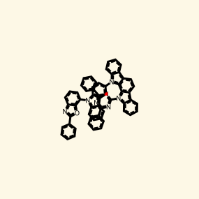 c1ccc(-c2nc(-c3ccccc3)nc(-n3c4ccccc4c4ccc5c6ccccc6n(-c6ccc7c(c6)c6ccccc6n7-c6cccc7nc(-c8ccccc8)oc67)c5c43)n2)cc1